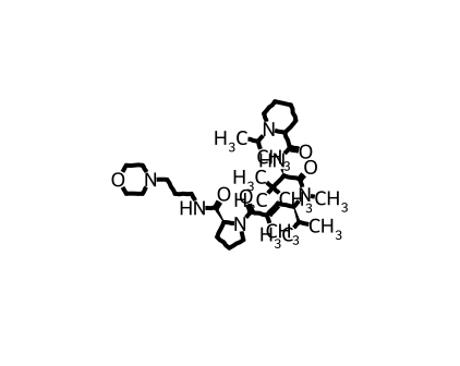 C/C(=C\[C@H](C(C)C)N(C)C(=O)[C@@H](NC(=O)C1CCCCN1C(C)C)C(C)(C)C)C(=O)N1CCC[C@H]1C(=O)NCCCN1CCOCC1